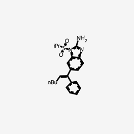 CCCCC=C(c1ccccc1)c1ccc2nc(N)n(S(=O)(=O)C(C)C)c2c1